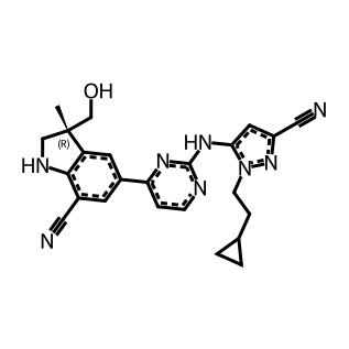 C[C@]1(CO)CNc2c(C#N)cc(-c3ccnc(Nc4cc(C#N)nn4CCC4CC4)n3)cc21